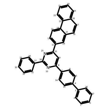 c1ccc(-c2ccc(-c3cc(-c4ccc5c(ccc6ccccc65)c4)nc(-c4ccccc4)n3)cc2)cc1